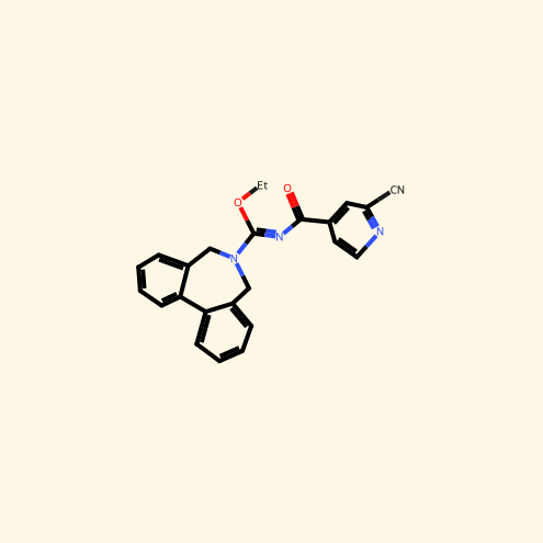 CCOC(=NC(=O)c1ccnc(C#N)c1)N1Cc2ccccc2-c2ccccc2C1